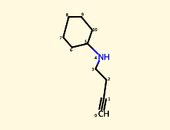 C#CCCNC1CCCCC1